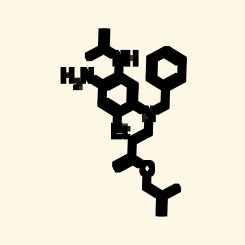 C=C(C)COC(=C)CCN(Cc1ccccc1)c1cc(NC(=C)C)c(N)cc1CC